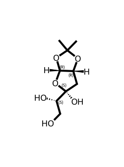 CC1(C)O[C@H]2O[C@](O)([C@@H](O)CO)C[C@H]2O1